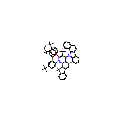 CC(C)(C)c1ccc(N2C3=C(B4c5c(cc6c(c52)C(C)(C)c2ccccc2-6)-c2cccc5c6ccc7ccccc7c6n4c25)C(C)(C)c2cc4c(cc23)C(C)(C)CCC4(C)C)c(-c2ccccc2)c1